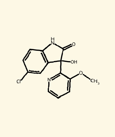 COc1cccnc1C1(O)C(=O)Nc2ccc(Cl)cc21